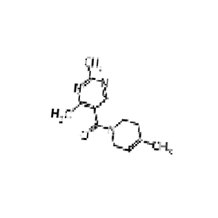 CC1=CCN(C(=O)c2cnc(C)nc2C)CC1